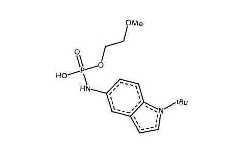 COCCOP(=O)(O)Nc1ccc2c(ccn2C(C)(C)C)c1